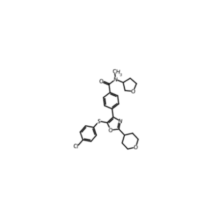 CN(C(=O)c1ccc(-c2nc(C3CCOCC3)oc2Sc2ccc(Cl)cc2)cc1)C1CCOC1